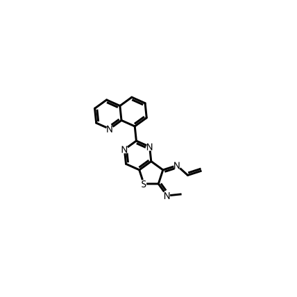 C=C/N=C1\C(=N/C)Sc2cnc(-c3cccc4cccnc34)nc21